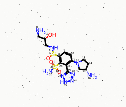 NC[C@@H](O)CN[S+]([O-])c1ccc(N2CC[C@H](N)C2)c(-c2nn[nH]n2)c1S(N)(=O)=O